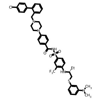 CC[C@H](CSc1cccc(N(C)C)c1)Nc1ccc(S(=O)(=O)NC(=O)c2ccc(N3CCN(Cc4ccccc4-c4ccc(Cl)cc4)CC3)cc2)cc1C(F)(F)F